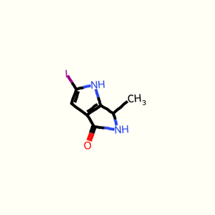 CC1NC(=O)c2cc(I)[nH]c21